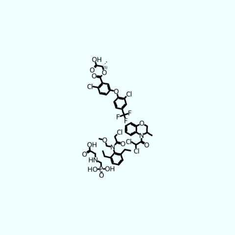 CC1COc2ccccc2N1C(=O)C(Cl)Cl.CCc1cccc(CC)c1N(COC)C(=O)CCl.C[C@H](OC(=O)c1cc(Oc2ccc(C(F)(F)F)cc2Cl)ccc1Cl)C(=O)O.O=C(O)CNCP(=O)(O)O